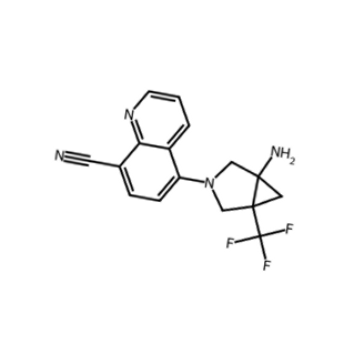 N#Cc1ccc(N2CC3(N)CC3(C(F)(F)F)C2)c2cccnc12